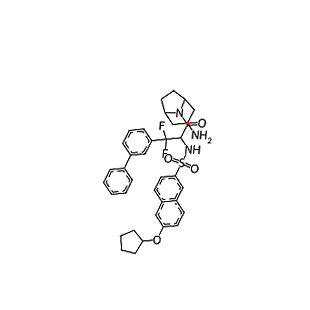 NC1CC2CCC(C1)N2C(=O)C(NS(=O)(=O)c1ccc2cc(OC3CCCC3)ccc2c1)C(F)(F)c1cccc(-c2ccccc2)c1